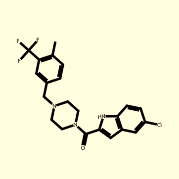 Cc1ccc(CN2CCN(C(=O)c3cc4cc(Cl)ccc4[nH]3)CC2)cc1C(F)(F)F